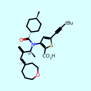 C=C(/C=C1/CCCOCC1)[C@H](C)N(c1cc(C#CC(C)(C)C)sc1C(=O)O)C(=O)[C@H]1CC[C@H](C)CC1